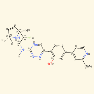 COc1cc(-c2ccc(-c3cnc(N(C)[C@@H]4C[C@@]5(C)C=C[C@H](N5)[C@@H]4F)nn3)c(O)c2)ccn1